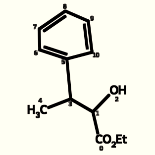 CCOC(=O)C(O)C(C)c1ccccc1